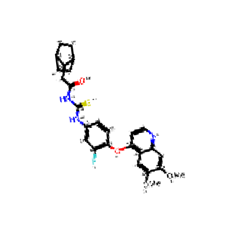 COc1cc2nccc(Oc3ccc(NC(=S)NC(=O)CC4C5CCC4CC5)cc3F)c2cc1OC